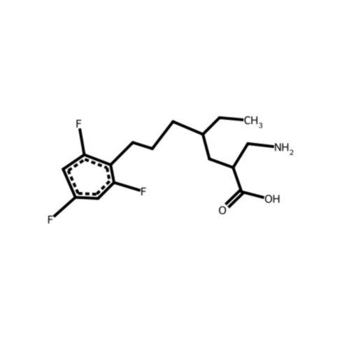 CCC(CCCc1c(F)cc(F)cc1F)CC(CN)C(=O)O